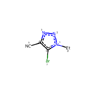 CCn1nnc(C#N)c1Br